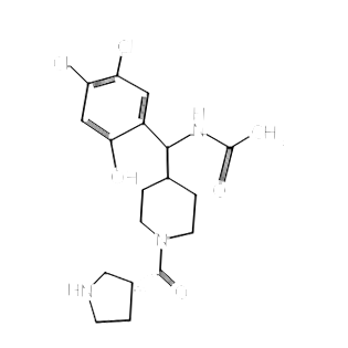 CC(=O)NC(c1cc(Cl)c(Cl)cc1O)C1CCN(C(=O)[C@@H]2CCNC2)CC1